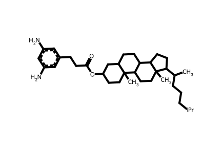 CC(C)CCCC(C)C1CCC2C3CCC4CC(OC(=O)CCc5cc(N)cc(N)c5)CCC4(C)C3CCC12C